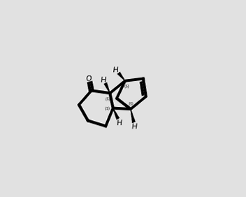 O=C1CCC[C@@H]2[C@H]1[C@@H]1C=C[C@H]2C1